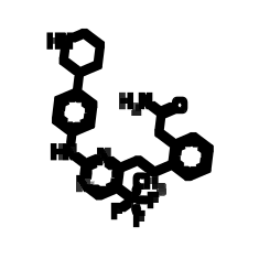 CP(F)(F)(F)c1cnc(Nc2ccc(C3CCCNC3)cc2)nc1CCc1ccccc1CC(N)=O